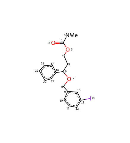 CNC(=O)OCCC(OCc1cccc(I)c1)c1ccccc1